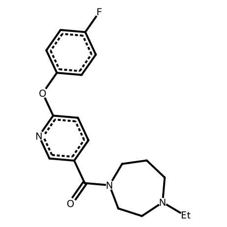 CCN1CCCN(C(=O)c2ccc(Oc3ccc(F)cc3)nc2)CC1